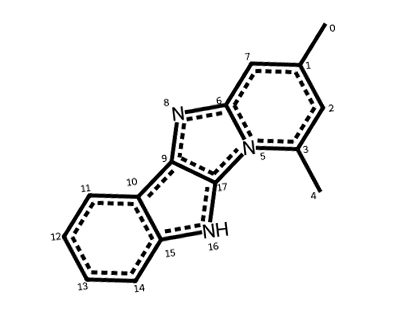 Cc1cc(C)n2c(c1)nc1c3ccccc3[nH]c12